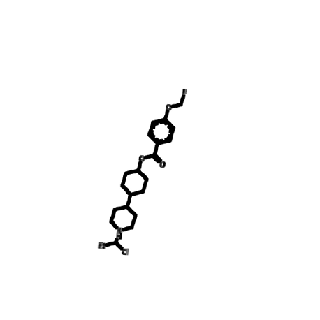 CCC(Cl)[SiH]1CCC(C2CCC(OC(=O)c3ccc(OCF)cc3)CC2)CC1